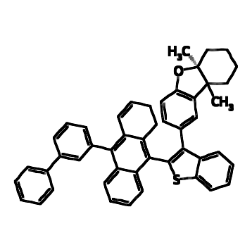 CC12CCCC[C@]1(C)Oc1ccc(-c3c(-c4c5c(c(-c6cccc(-c7ccccc7)c6)c6ccccc46)C=CCC5)sc4ccccc34)cc12